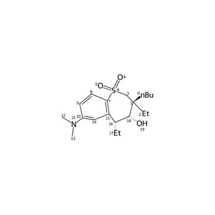 CCCC[C@]1(CC)CS(=O)(=O)c2ccc(N(C)C)cc2[C@@H](CC)[C@H]1O